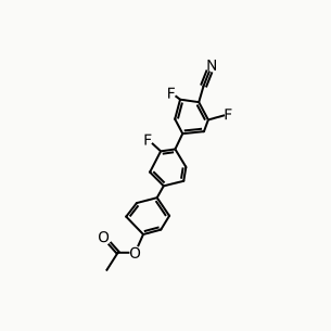 CC(=O)Oc1ccc(-c2ccc(-c3cc(F)c(C#N)c(F)c3)c(F)c2)cc1